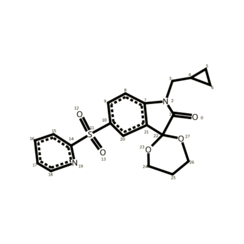 O=C1N(CC2CC2)c2ccc(S(=O)(=O)c3ccccn3)cc2C12OCCCO2